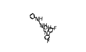 OC(CNCCCNc1ccccc1)Cn1c2ccc(F)cc2c2cc(F)ccc21